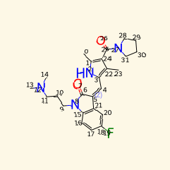 Cc1[nH]c(/C=C2\C(=O)N(CCCN(C)C)c3ccc(F)cc32)c(C)c1C(=O)N1CCCC1